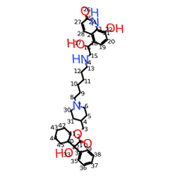 O=C(OCC1CCN(CCCCCCNCC(O)c2ccc(O)c3[nH]c(=O)ccc23)CC1)C(O)(c1ccccc1)C1CCCCC1